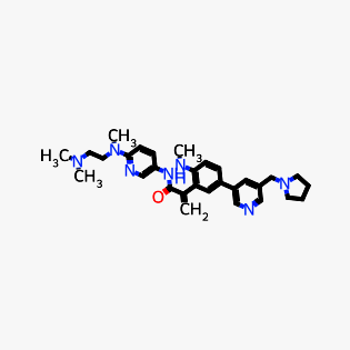 C=C(C(=O)Nc1ccc(N(C)CCN(C)C)nc1)c1cc(-c2cncc(CN3CCCC3)c2)ccc1NC